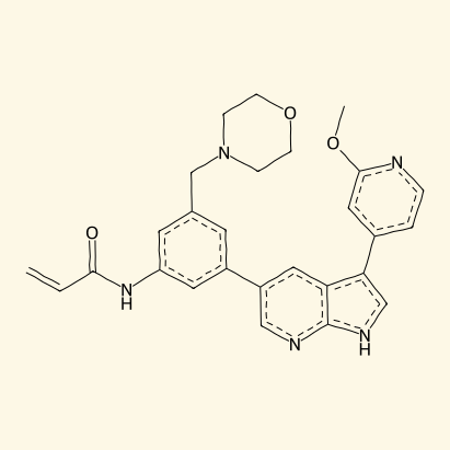 C=CC(=O)Nc1cc(CN2CCOCC2)cc(-c2cnc3[nH]cc(-c4ccnc(OC)c4)c3c2)c1